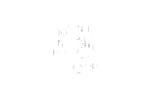 C[C@H]1c2cccc(O)c2C(=O)C2=C(O)[C@]3(O)C(=O)C(C(N)=O)C(O)[C@@H](N(C)C)C3[C@@H](O)C21